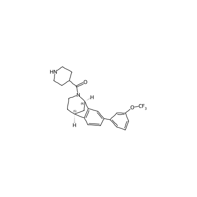 O=C(C1CCNCC1)N1CC[C@H]2C[C@@H]1c1cc(-c3cccc(OC(F)(F)F)c3)ccc12